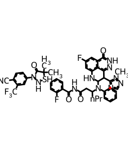 CCCC(CC(=O)NC(=O)c1ccc([SH]2NN(c3ccc(C#N)c(C(F)(F)F)c3)C(=O)C2(C)C)cc1F)N(c1ccccc1)C1Nc2cc(F)cc3c(=O)[nH]nc(c23)C1c1ncnn1C